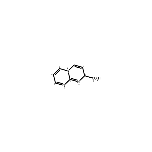 O=C(O)C1C=CN2C=CC=NC2=N1